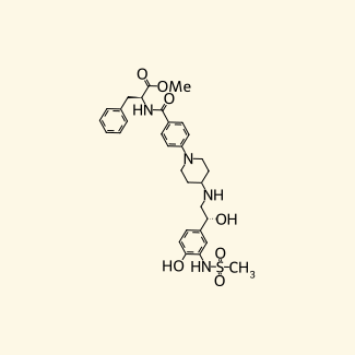 COC(=O)[C@H](Cc1ccccc1)NC(=O)c1ccc(N2CCC(NC[C@H](O)c3ccc(O)c(NS(C)(=O)=O)c3)CC2)cc1